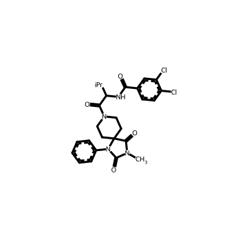 CC(C)C(NC(=O)c1ccc(Cl)c(Cl)c1)C(=O)N1CCC2(CC1)C(=O)N(C)C(=O)N2c1ccccc1